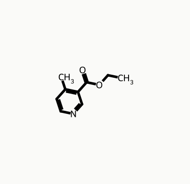 CCOC(=O)c1cnccc1C